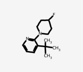 CC(C)(C)c1cccnc1N1CCC(F)CC1